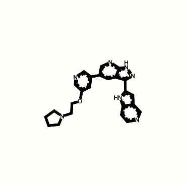 c1cc2[nH]c(-c3n[nH]c4ncc(-c5cncc(OCCN6CCCC6)c5)cc34)cc2cn1